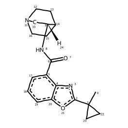 CC1(c2nc3c(C(=O)N[C@@H]4CN5CCC4CC5)cccc3o2)CC1